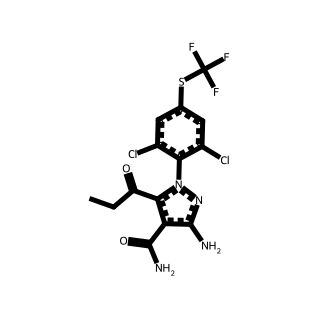 CCC(=O)c1c(C(N)=O)c(N)nn1-c1c(Cl)cc(SC(F)(F)F)cc1Cl